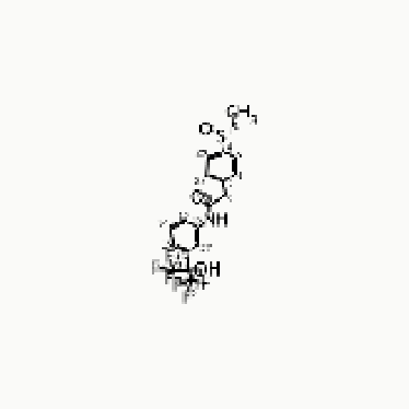 CC[S+]([O-])c1ccc(CC(=O)Nc2cccc(C(O)(C(F)(F)F)C(F)(F)F)c2)cc1